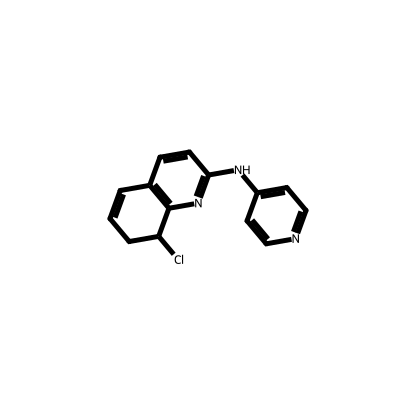 ClC1CC=Cc2ccc(Nc3ccncc3)nc21